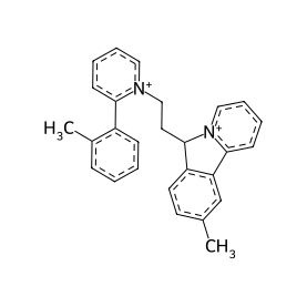 Cc1ccc2c(c1)-c1cccc[n+]1C2CC[n+]1ccccc1-c1ccccc1C